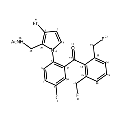 CCc1ccn(-c2ccc(Cl)cc2C(=O)c2c(CF)cccc2CF)c1CNC(C)=O